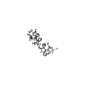 Cc1cc(C)c(C2C(=O)CC(CCNC(=O)NC(=O)c3c(F)cccc3F)C2=O)c(C)c1